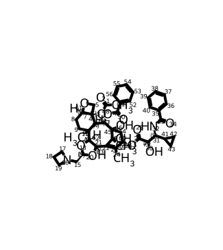 CC(=O)O[C@@]12CO[C@@H]1CC[C@@]1(C)[C@@H]3O[C@H](CN4CCC4)O[C@@H]3C3=C(C)[C@@H](OC(=O)[C@H](O)[C@@H](NC(=O)c4ccccc4)C4CC4)C[C@@](O)([C@@H](OC(=O)c4ccccc4)[C@@H]12)C3(C)C